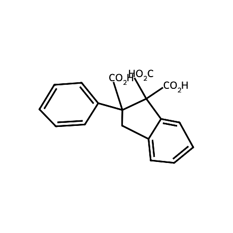 O=C(O)C1(c2ccccc2)Cc2ccccc2C1(C(=O)O)C(=O)O